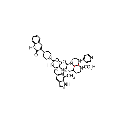 Cc1cc(C[C@@H](NC(=O)N2CCC(c3cc4ccccc4[nH]c3=O)CC2)C(=O)N[C@@H](CC2CCN(C(=O)O)CC2)C(=O)N2CCN(c3ccncc3)CC2)cc2cn[nH]c12